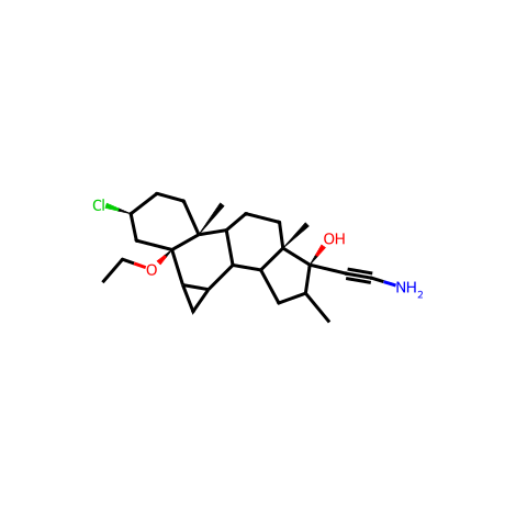 CCO[C@@]12C[C@@H](Cl)CC[C@]1(C)C1CC[C@@]3(C)C(CC(C)[C@@]3(O)C#CN)C1C1CC12